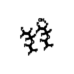 FC(F)=C(F)OC(F)(F)C(F)=C(F)F.FC(F)=C(F)OC(F)(F)C(F)=C(F)F.O